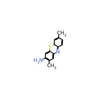 Cc1ccc2nc3cc(C)c(N)cc3[s+]c2c1